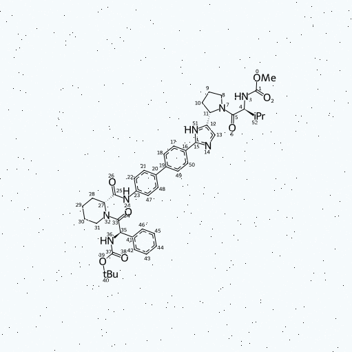 COC(=O)N[C@H](C(=O)N1CCC[C@H]1c1cnc(-c2ccc(-c3ccc(NC(=O)[C@H]4CCCCN4C(=O)[C@H](NC(=O)OC(C)(C)C)c4ccccc4)cc3)cc2)[nH]1)C(C)C